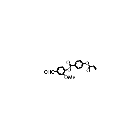 C=CC(=O)Oc1ccc(C(=O)Oc2ccc([C]=O)cc2OC)cc1